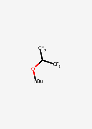 CCCCOC(C(F)(F)F)C(F)(F)F